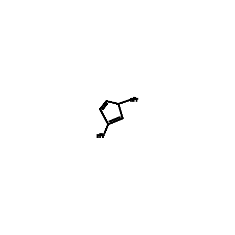 CCC[C]1C=CC(CCC)=C1